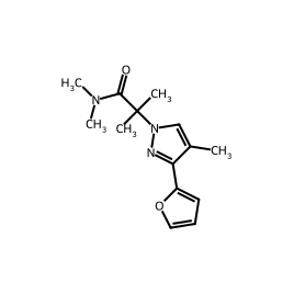 Cc1cn(C(C)(C)C(=O)N(C)C)nc1-c1ccco1